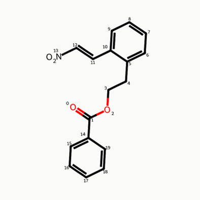 O=C(OCCc1ccccc1C=C[N+](=O)[O-])c1ccccc1